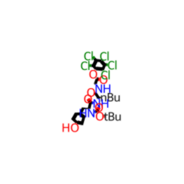 CCCC[C@@H](NC(=O)[C@H](Cc1ccc(O)cc1)NC(=O)OC(C)(C)C)C(=O)NCC(=O)Oc1c(Cl)c(Cl)c(Cl)c(Cl)c1Cl